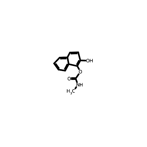 CNC(=O)Oc1c(O)ccc2ccccc12